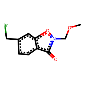 COCn1oc2cc(CBr)ccc2c1=O